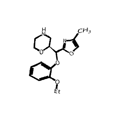 CCOc1ccccc1OC(c1nc(C)co1)[C@@H]1CNCCO1